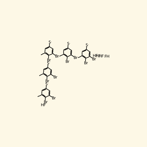 Cc1cc([S])cc(Br)c1Br.Cc1cc([S])cc(Br)c1Br.Cc1cc([S])cc(Br)c1Br.Cc1cc([S])cc(Br)c1Br.Cc1cc([S])cc(Br)c1Br.F.F.F.F.F